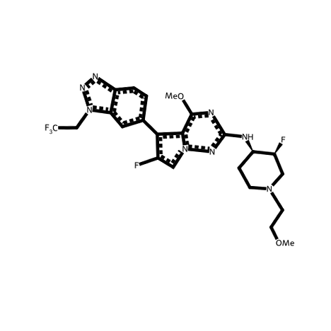 COCCN1CC[C@@H](Nc2nc(OC)c3c(-c4ccc5nnn(CC(F)(F)F)c5c4)c(F)cn3n2)[C@@H](F)C1